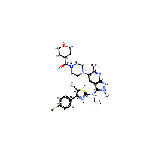 CCn1nc2nc(C)c(N3CCN(C(=O)C4CCOCC4)CC3)cc2c1N(C)c1nc(-c2ccc(F)cc2)c(C#N)s1